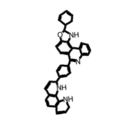 C1=CCC(C2Nc3c(ccc4c(-c5ccc(C6C=Cc7ccc8c(c7N6)NCC=C8)cc5)nc5ccccc5c34)O2)C=C1